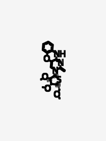 C=C1N=C2Nc3ccccc3OC2=CN1[C@@H]1S[C@H](COC)C(OC)[C@@H]1OC